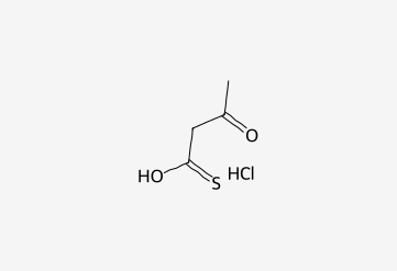 CC(=O)CC(O)=S.Cl